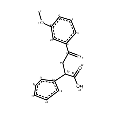 COc1cccc(C(=O)CC(C(=O)O)c2ccccc2)c1